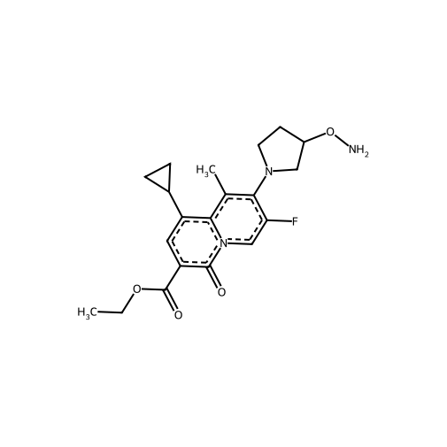 CCOC(=O)c1cc(C2CC2)c2c(C)c(N3CCC(ON)C3)c(F)cn2c1=O